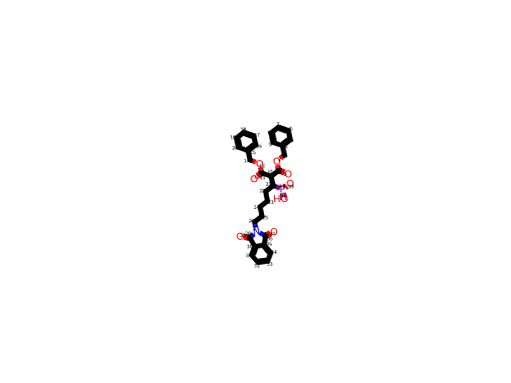 O=C(OCc1ccccc1)C(C(=O)OCc1ccccc1)C(CCCCCN1C(=O)c2ccccc2C1=O)[PH](=O)O